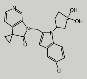 O=C1N(Cc2cc3cc(Cl)ccc3n2C2CCS(O)(O)C2)c2cnccc2C12CC2